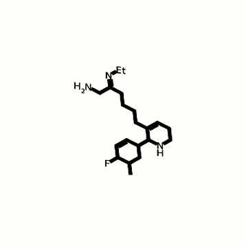 CC/N=C(/CN)CCCCC1=CCCNC1C1C=CC(F)C(C)C1